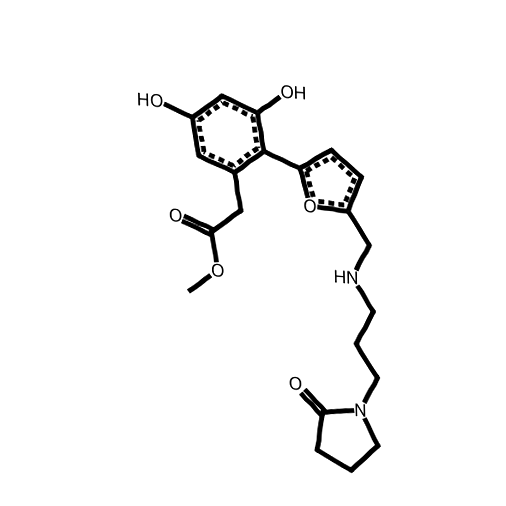 COC(=O)Cc1cc(O)cc(O)c1-c1ccc(CNCCCN2CCCC2=O)o1